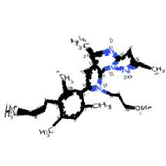 C=CCc1c(C)cc(C)c(-c2cc3c(C)nc4cc(C)nn4c3n2CCCOC)c1C